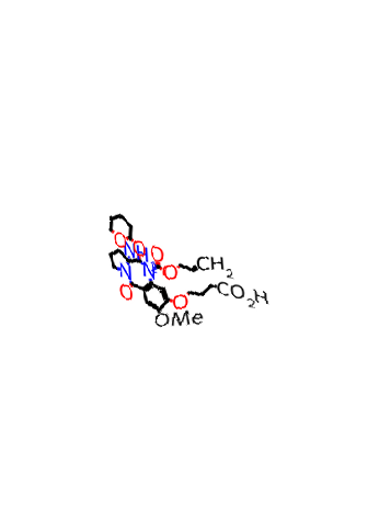 C=CCOC(=O)N1c2cc(OCCCC(=O)O)c(OC)cc2C(=O)N2CCC[C@@]2(N)C1OC1CCCCO1